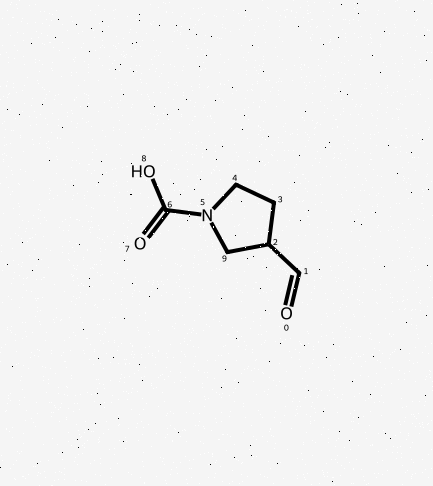 O=CC1CCN(C(=O)O)C1